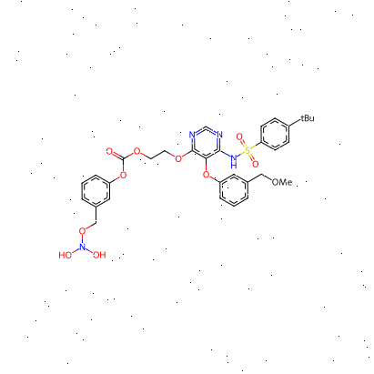 COCc1cccc(Oc2c(NS(=O)(=O)c3ccc(C(C)(C)C)cc3)ncnc2OCCOC(=O)Oc2cccc(CON(O)O)c2)c1